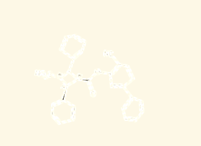 N#Cc1ccc(-c2ccccc2)cc1OC(=O)[C@@H]1C(c2ccccc2)[C@@H](C(=O)O)[C@@H]1c1ccccc1